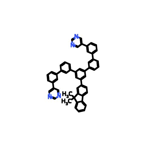 CC1(C)c2ccccc2-c2ccc(-c3cc(-c4cccc(-c5cccc(-c6cncnc6)c5)c4)cc(-c4cccc(-c5cccc(-c6cncnc6)c5)c4)c3)cc21